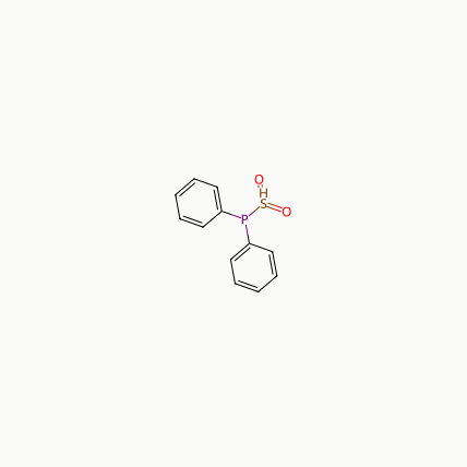 O=[SH](=O)P(c1ccccc1)c1ccccc1